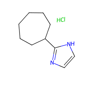 Cl.c1c[nH]c(C2CCCCCC2)n1